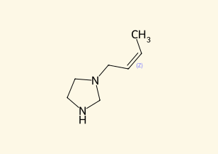 C/C=C\CN1CCNC1